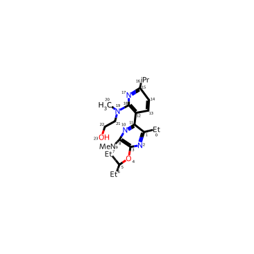 CCc1nc(OC(CC)CC)c(NC)nc1-c1ccc(C(C)C)nc1N(C)CCO